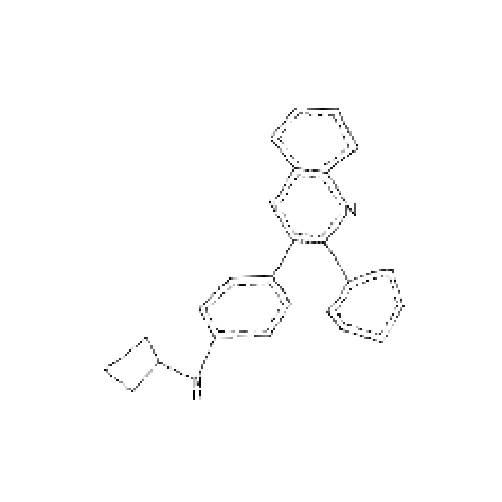 c1ccc(-c2nc3ccccc3nc2-c2ccc(NC3CCC3)cc2)cc1